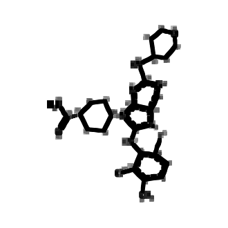 Cc1ccc(F)c(Nc2nc3cnc(NC4CCOCC4)nc3n2[C@H]2CC[C@@H](C(N)=O)CC2)c1Cl